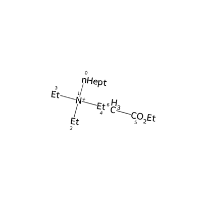 CCCCCCC[N+](CC)(CC)CC.CCOC(C)=O